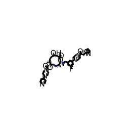 C/C(=C\c1cc(F)cc(N2CCN(C(=O)Cn3cccn3)CC2)c1)[C@H]1OC(=O)C[C@H](O)CC[C@H](C)[C@H](OC(=O)N2CCN(c3ccncc3)CC2)/C=C/[C@@H]1C